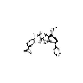 COc1ccc(N2CCOCC2)c2sc(NC(=O)N(C)[C@H]3CC[C@H](OC)CC3)nc12